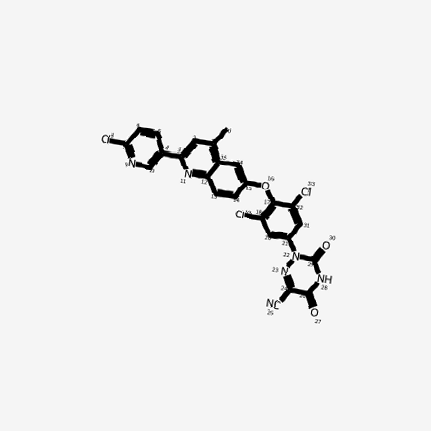 Cc1cc(-c2ccc(Cl)nc2)nc2ccc(Oc3c(Cl)cc(-n4nc(C#N)c(=O)[nH]c4=O)cc3Cl)cc12